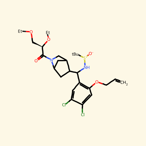 C=CCOc1cc(Cl)c(Cl)cc1C(N[S+]([O-])C(C)(C)C)C1CC2CC1CN2C(=O)[C@@H](COCC)OCC